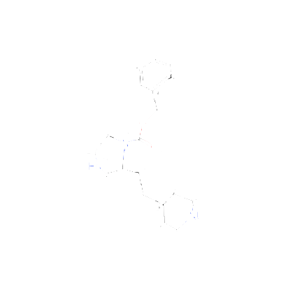 O=C(OCc1ccccc1)N1CCNCC1CCC1CCNCC1